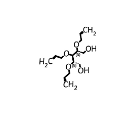 C=CCOC([C@H](CO)OCC=C)[C@H](CO)OCC=C